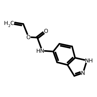 C=COC(=O)Nc1ccc2[nH]ncc2c1